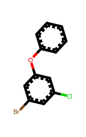 Clc1cc(Br)cc(Oc2ccccc2)c1